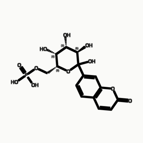 O=c1ccc2ccc(C3(O)O[C@H](COP(=O)(O)O)[C@H](O)[C@H](O)[C@H]3O)cc2o1